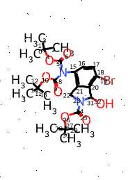 CC(C)(C)OC(=O)N(C(=O)OC(C)(C)C)c1ccc(Br)c2c1CN(C(=O)OC(C)(C)C)C2O